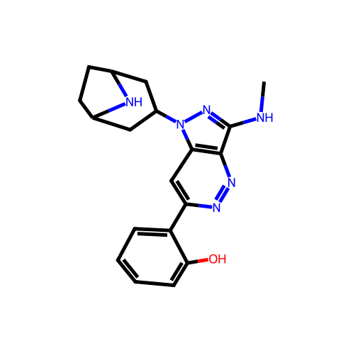 CNc1nn(C2CC3CCC(C2)N3)c2cc(-c3ccccc3O)nnc12